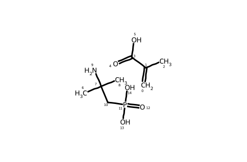 C=C(C)C(=O)O.CC(C)(N)CP(=O)(O)O